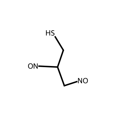 O=NCC(CS)N=O